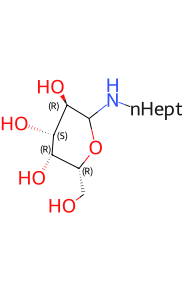 CCCCCCCNC1O[C@H](CO)[C@H](O)[C@H](O)[C@H]1O